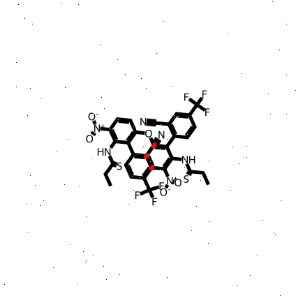 CCC(=S)Nc1c([N+](=O)[O-])ccc(Oc2ccc([N+](=O)[O-])c(NC(=S)CC)c2-c2ccc(C(F)(F)F)cc2C#N)c1-c1ccc(C(F)(F)F)cc1C#N